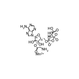 NCC(=O)[O-].Nc1ncnc2c1ncn2[C@@H]1O[C@H](COP(=O)([O-])OP(=O)(O)OP(=O)(O)O)[C@@H](O)[C@H]1O.[Mn+2]